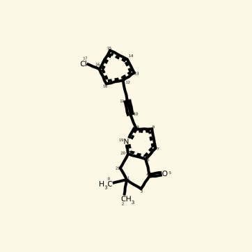 CC1(C)CC(=O)c2ccc(C#Cc3cccc(Cl)c3)nc2C1